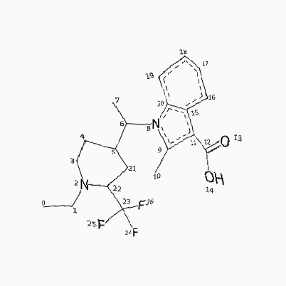 CCN1CCC(C(C)n2c(C)c(C(=O)O)c3ccccc32)CC1C(F)(F)F